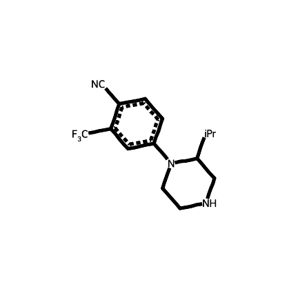 CC(C)C1CNCCN1c1ccc(C#N)c(C(F)(F)F)c1